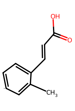 Cc1c[c]ccc1C=CC(=O)O